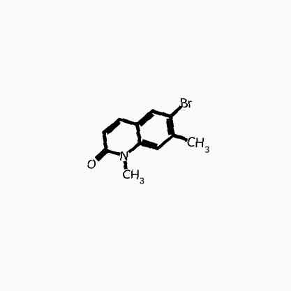 Cc1cc2c(ccc(=O)n2C)cc1Br